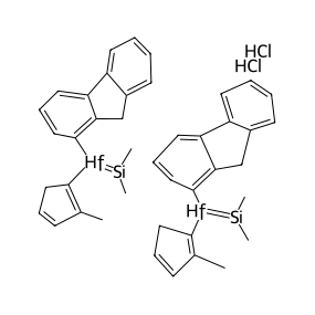 CC1=[C]([Hf]([c]2cccc3c2Cc2ccccc2-3)=[Si](C)C)CC=C1.CC1=[C]([Hf]([c]2cccc3c2Cc2ccccc2-3)=[Si](C)C)CC=C1.Cl.Cl